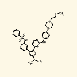 COCCN1CCN(c2ccc(Nc3nccc(-c4sc(C(C)C)nc4C4=CC(NS(=O)(=O)c5ccccc5)CC=C4)n3)cn2)CC1